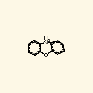 c1ccc2c(c1)Oc1ccccc1[SiH2]2